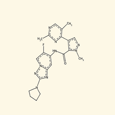 Cc1ncc(C)c(-c2cnn(C)c2C(=O)Nc2cc3nc(N4CCCC4)nn3cc2F)n1